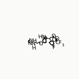 O=C(CC(c1ccc(F)cc1)c1c[nH]c2cc(OCCCNc3ncc[nH]3)ccc12)OC(=O)C(F)(F)F